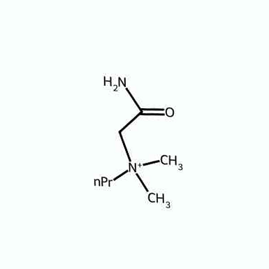 CCC[N+](C)(C)CC(N)=O